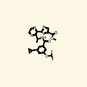 COC(=O)c1cnc(-c2nccnc2C(C)NC(=O)c2cc(OC(F)F)cc(C3CC3)c2)s1